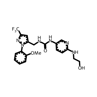 COc1ccccc1-n1nc(C(F)(F)F)cc1CNC(=O)Nc1ccc(NCCO)nc1